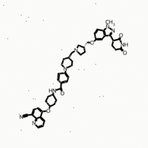 Cn1nc(C2CCC(=O)NC2=O)c2cc(OC[C@@H]3CCN(CC4CCN(c5ccc(C(=O)NC6CCC(Oc7ccc(C#N)c8ncccc78)CC6)cc5)CC4)C3)ccc21